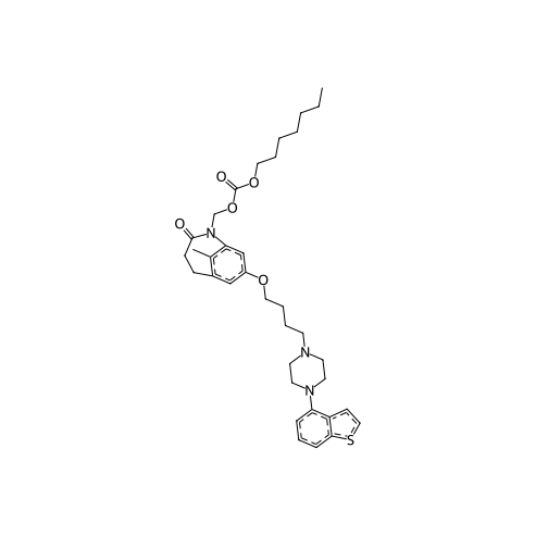 CCCCCCCOC(=O)OCN1C(=O)CCc2cc(OCCCCN3CCN(c4cccc5sccc45)CC3)cc1c2C